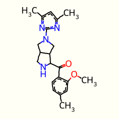 COc1cc(C)ccc1C(=O)C1NCC2CN(c3nc(C)cc(C)n3)CC21